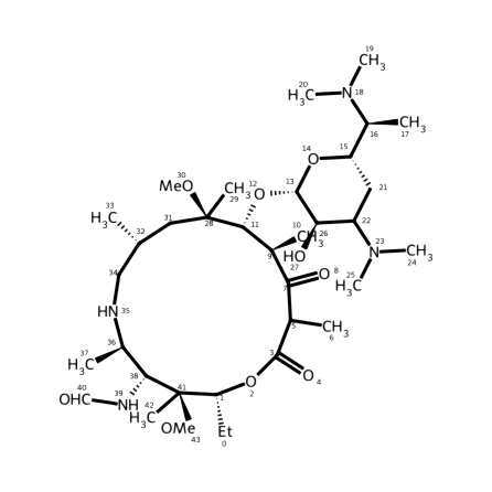 CC[C@H]1OC(=O)C(C)C(=O)[C@H](C)[C@@H](O[C@@H]2O[C@H]([C@H](C)N(C)C)CC(N(C)C)[C@H]2O)[C@](C)(OC)C[C@@H](C)CN[C@H](C)[C@@H](NC=O)[C@]1(C)OC